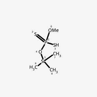 COP(=S)(S)O[Si](C)(C)C